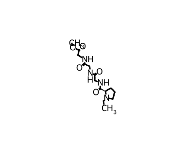 CCN1CCC[C@@H]1C(=O)NCC(=O)NCC(=O)NCC(=O)OC